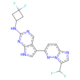 FC(F)c1cnc2ccc(-c3c[nH]c4nc(NC5CC(F)(F)C5)ncc34)nn12